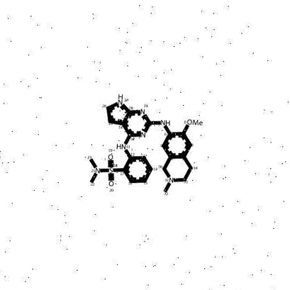 COc1cc2c(cc1Nc1nc(Nc3ccccc3S(=O)(=O)N(C)C)c3cc[nH]c3n1)CN(C)CC2